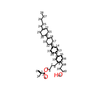 C=C(C)C(=O)OCCCc1cc(-c2ccc(C3CCC(C4CCC(CCCCC)CC4)CC3)cc2)ccc1CCCO